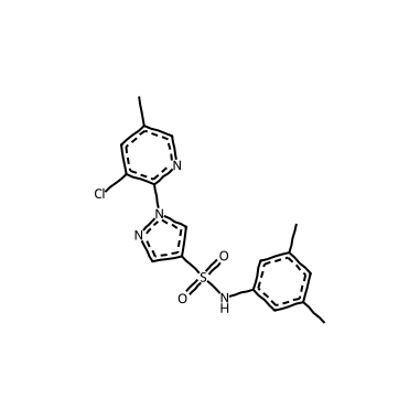 Cc1cc(C)cc(NS(=O)(=O)c2cnn(-c3ncc(C)cc3Cl)c2)c1